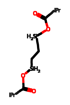 CC(C)C(=O)O[SiH2]CC[SiH2]OC(=O)C(C)C